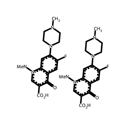 CNn1cc(C(=O)O)c(=O)c2cc(F)c(N3CCN(C)CC3)cc21.CNn1cc(C(=O)O)c(=O)c2cc(F)c(N3CCN(C)CC3)cc21